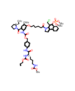 C=CCOC(=O)N[C@@H](CCCCNC(=O)OC(C)(C)C)C(=O)Nc1ccc(COC(=O)Nc2cc(OCCCCCC(=O)N3CC=c4c3c(CCl)c(OP(=O)(OC(C)(C)C)OC(C)(C)C)c3c4=CC=CC3)c(OC)cc2C(=O)N2CCC[C@H]2COC(C)=O)cc1